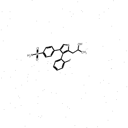 CC(O)Cc1scc(-c2ccc(S(N)(=O)=O)cc2)c1-c1ccccc1F